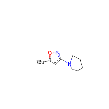 CC(C)(C)c1cc(N2CCCCC2)no1